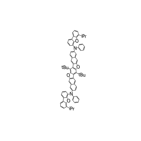 CC(C)c1cccc2c1oc1c(N(c3ccccc3)c3ccc4cc5c(cc4c3)oc3c(C(C)(C)C)c4c(oc6cc7cc(N(c8ccccc8)c8cccc9c8oc8c(C(C)C)cccc89)ccc7cc64)c(C(C)(C)C)c35)cccc12